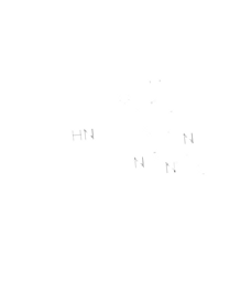 CCN(c1nc(Cl)nc2cc(OC)c(OC)cc12)C1CCNCC1